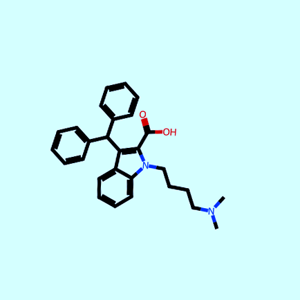 CN(C)CCCCn1c(C(=O)O)c(C(c2ccccc2)c2ccccc2)c2ccccc21